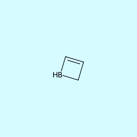 B1C=CC1